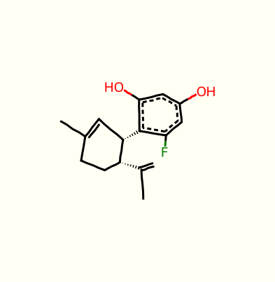 C=C(C)[C@@H]1CCC(C)=C[C@@H]1c1c(O)cc(O)cc1F